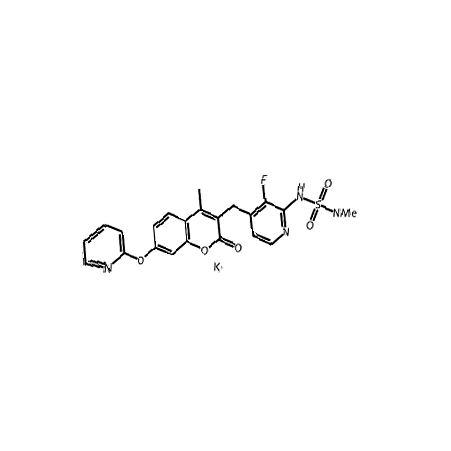 CNS(=O)(=O)Nc1nccc(Cc2c(C)c3ccc(Oc4ccccn4)cc3oc2=O)c1F.[K]